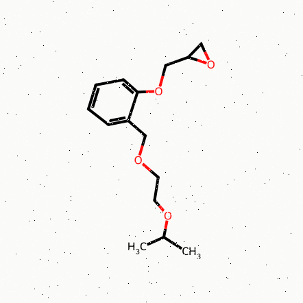 CC(C)OCCOCc1ccccc1OCC1CO1